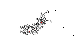 CCC1O[C@@H](OCC2O[C@H](F)C(O[C@@H]3OC(CC)[C@@H](O[C@@H]4OC(COCc5ccccc5)[C@H](C)[C@H](C)C4OC(C)=O)[C@H](C)C3C)[C@@H](C)[C@@H]2C)C(C)[C@@H](C)[C@@H]1O[C@@H]1OC(CO[C@]2(C(=O)OC)C[C@H]3OC(=O)N[C@H]3C([C@H](OC(C)=O)[C@@H](CC)OC(C)=O)O2)[C@H](C)[C@H](C)C1OC(=O)c1ccccc1